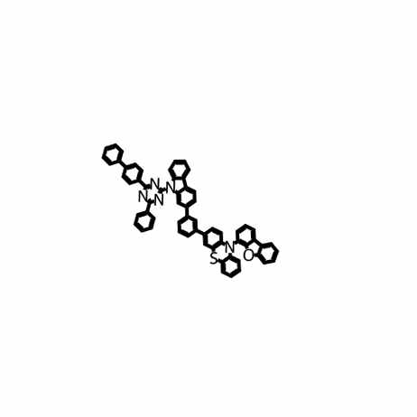 c1ccc(-c2ccc(-c3nc(-c4ccccc4)nc(-n4c5ccccc5c5ccc(-c6cccc(-c7ccc8c(c7)Sc7ccccc7N8c7cccc8c7oc7ccccc78)c6)cc54)n3)cc2)cc1